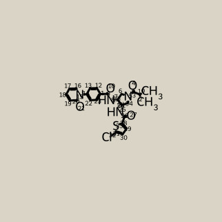 CC(C)C(=O)N1C[C@H](NC(=O)c2ccc(-n3ccccc3=O)cc2)[C@H](NC(=O)c2ccc(Cl)s2)C1